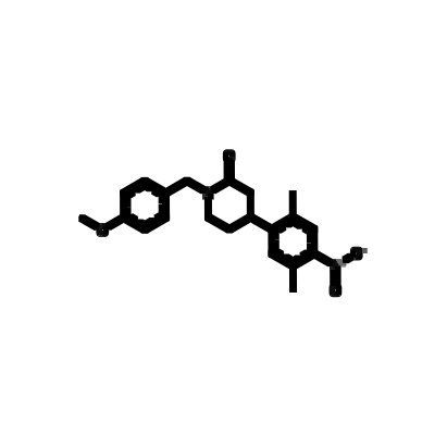 COc1ccc(CN2CCC(c3cc(C)c([N+](=O)[O-])cc3C)CC2=O)cc1